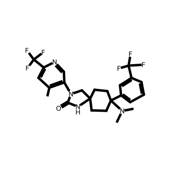 Cc1cc(C(F)(F)F)ncc1N1CC2(CCC(c3cccc(C(F)(F)F)c3)(N(C)C)CC2)NC1=O